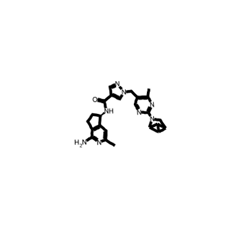 Cc1cc2c(c(N)n1)CC[C@H]2NC(=O)c1cnn(Cc2cnc(N3CC4C5C4C53)nc2C)c1